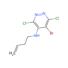 C=CCCNc1c(Cl)nnc(Cl)c1Br